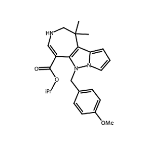 COc1ccc(Cn2c3c(c4cccn42)C(C)(C)CNC=C3C(=O)OC(C)C)cc1